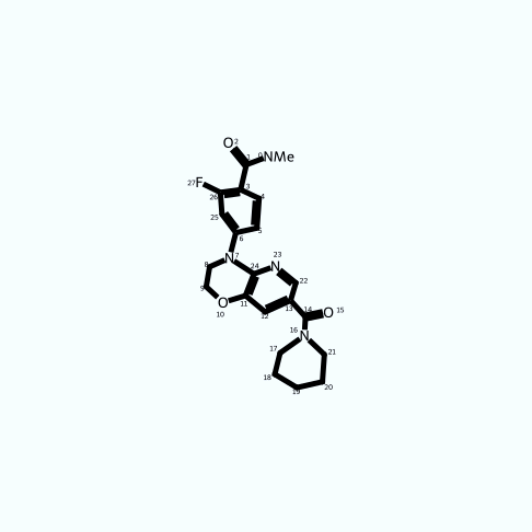 CNC(=O)c1ccc(N2CCOc3cc(C(=O)N4CCCCC4)cnc32)cc1F